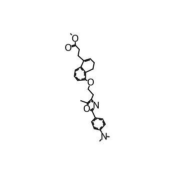 COC(=O)CCC1=CCCc2c(OCCc3nc(-c4ccc(N(C)C)cc4)oc3C)cccc21